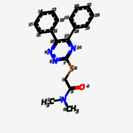 CN(C)C(=O)CSc1nnc(-c2ccccc2)c(-c2ccccc2)n1